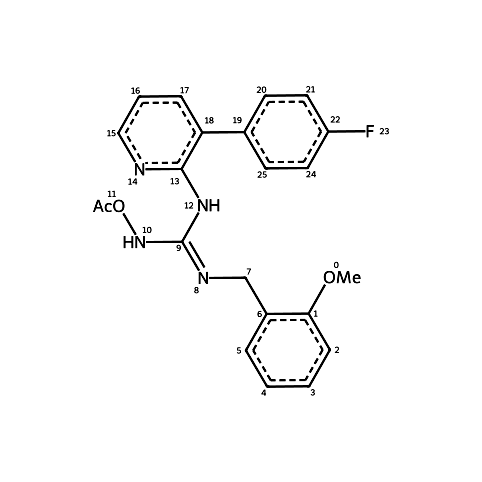 COc1ccccc1CN=C(NOC(C)=O)Nc1ncccc1-c1ccc(F)cc1